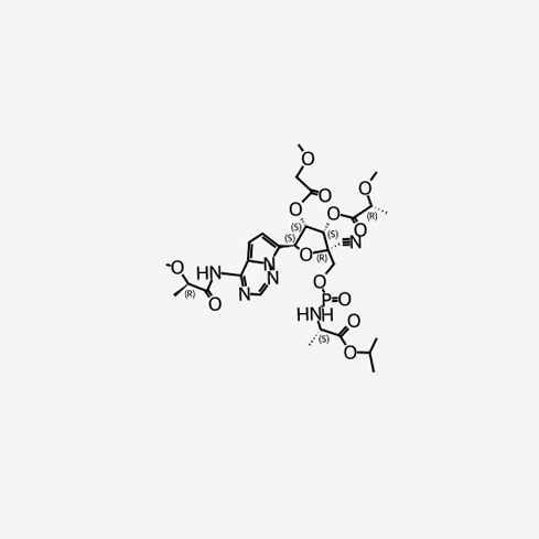 COCC(=O)O[C@H]1[C@H](c2ccc3c(NC(=O)[C@@H](C)OC)ncnn23)O[C@](C#N)(CO[PH](=O)N[C@@H](C)C(=O)OC(C)C)[C@H]1OC(=O)[C@@H](C)OC